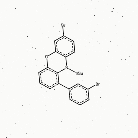 CCCCN1c2ccc(Br)cc2Oc2cccc(-c3cccc(Br)c3)c21